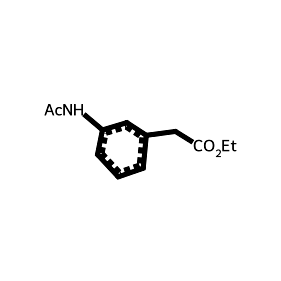 CCOC(=O)Cc1cccc(NC(C)=O)c1